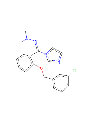 CN(C)/N=C(\c1ccccc1OCc1cccc(Cl)c1)n1ccnc1